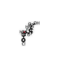 O=C(c1c(F)ccc(NS(=O)(=O)CCO)c1F)c1c[nH]c2ncc(-c3ccc(Cl)cc3)cc12